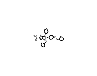 O=C(O)c1cc2c(s1)c(-c1ccccc1)c(-c1ccc(OCc3ccccc3)cc1)n2Cc1ccccc1